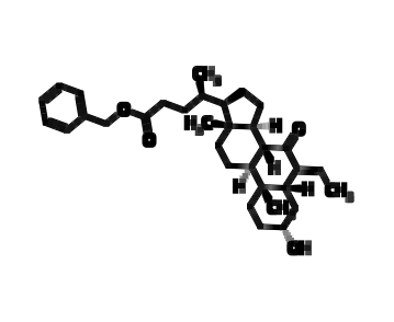 C/C=C1/C(=O)[C@@H]2[C@H](CC[C@]3(C)[C@@H]([C@H](C)CCC(=O)OCc4ccccc4)CC[C@@H]23)[C@@]2(C)CC[C@@H](O)C[C@@H]12